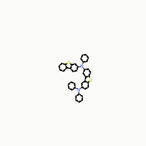 c1ccc(N(c2ccccc2)c2ccc3sc4ccc(N(c5ccccc5)c5ccc6c(c5)sc5ccccc56)cc4c3c2)cc1